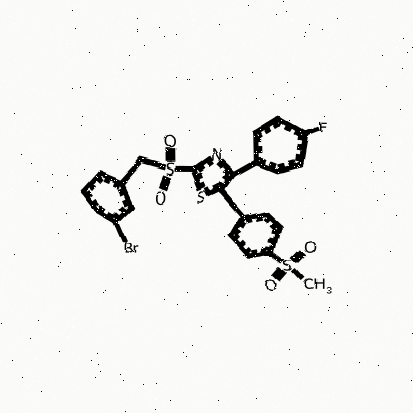 CS(=O)(=O)c1ccc(-c2sc(S(=O)(=O)Cc3cccc(Br)c3)nc2-c2ccc(F)cc2)cc1